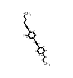 CCCCC#Cc1ccc(C#Cc2ccc(CCC)cc2)cc1F